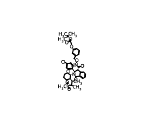 CC(C(C)S(C)(=O)=O)[C@H]1CCCC[C@@H]1N1C(=O)c2ccccc2[C@@H](C(=O)NOCc2cccc(OCC(=O)OC(C)(C)C)c2)[C@@H]1c1ccc(Cl)cc1Cl